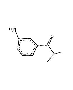 CC(C)C(=O)c1cccc(N)c1